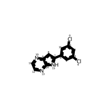 Clc1cc(Cl)cc(-c2cc3nccnc3[nH]2)c1